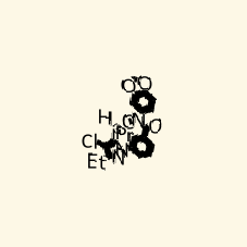 CCc1nn(-c2cccc(C(=O)N(C)c3ccc4c(c3)OCO4)c2)c(C(C)C)c1Cl